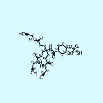 C#CCNC(=O)CCC(CCC(=O)NCC#C)(CCC(=O)NCC#C)NC(=O)[C@H]1CC[C@H](OP(=O)(S)C(C)CC)CC1